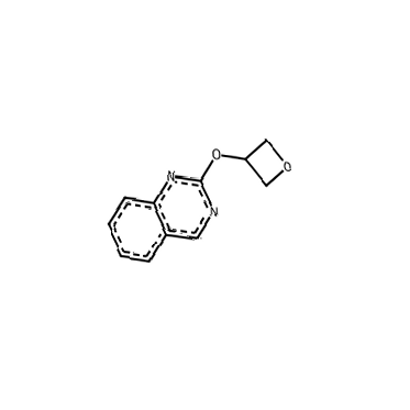 [c]1nc(OC2COC2)nc2ccccc12